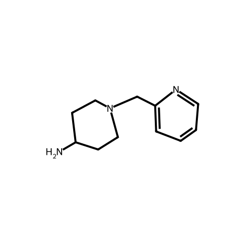 NC1CCN(Cc2ccccn2)CC1